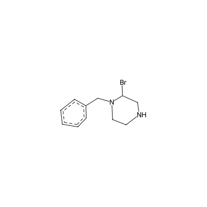 BrC1CNCCN1Cc1ccccc1